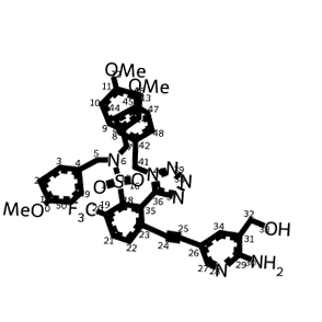 COc1ccc(CN(Cc2ccc(OC)cc2)S(=O)(=O)c2c(C(F)(F)F)ccc(C#Cc3cnc(N)c(CO)c3)c2-c2nnnn2Cc2ccc(OC)cc2)cc1